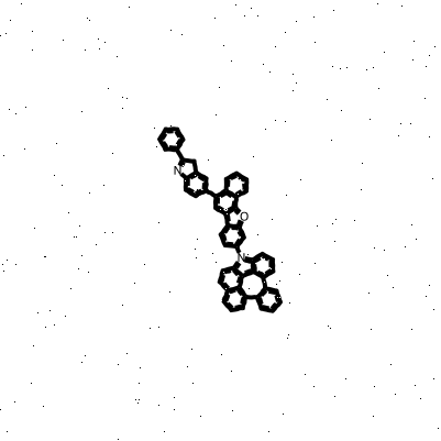 c1ccc(C2=Nc3ccc(-c4cc5c6ccc(-n7c8cccc9c8c8c%10c(cccc%10ccc87)-c7ccccc7-9)cc6oc5c5ccccc45)cc3C2)cc1